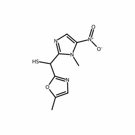 Cc1cnc(C(S)c2ncc([N+](=O)[O-])n2C)o1